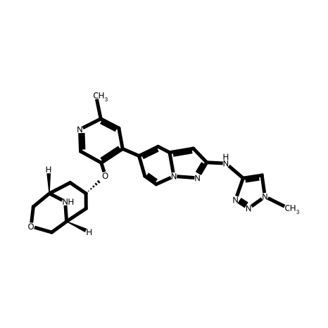 Cc1cc(-c2ccn3nc(Nc4cn(C)nn4)cc3c2)c(O[C@H]2C[C@H]3COC[C@@H](C2)N3)cn1